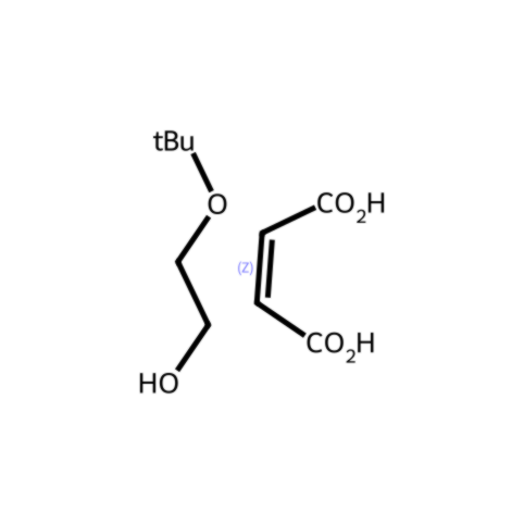 CC(C)(C)OCCO.O=C(O)/C=C\C(=O)O